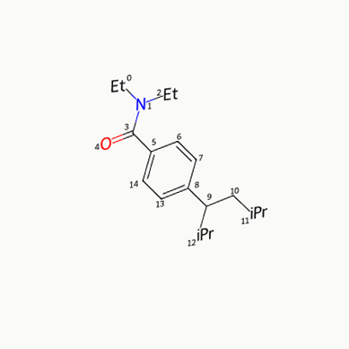 CCN(CC)C(=O)c1ccc(C(CC(C)C)C(C)C)cc1